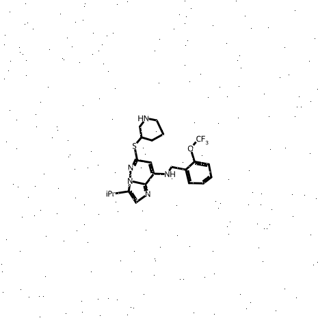 CC(C)c1cnc2c(NCc3ccccc3OC(F)(F)F)cc(SC3CCCNC3)nn12